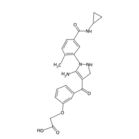 Cc1ccc(C(=O)NC2CC2)cc1N1NCC(C(=O)c2cccc(OCC(=O)O)c2)=C1N